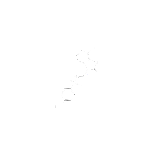 Cc1ccc(S(=O)(=O)N/N=C2/C(=O)Nc3c(Br)cccc32)cc1